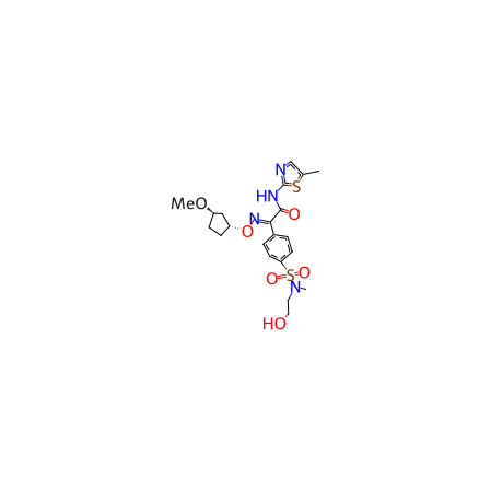 CO[C@@H]1CC[C@@H](O/N=C(/C(=O)Nc2ncc(C)s2)c2ccc(S(=O)(=O)N(C)CCO)cc2)C1